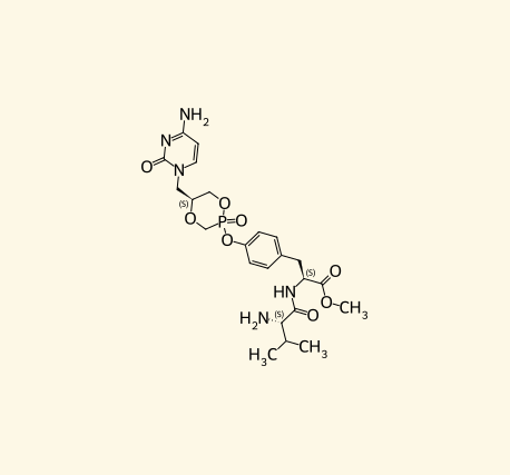 COC(=O)[C@H](Cc1ccc(OP2(=O)CO[C@@H](Cn3ccc(N)nc3=O)CO2)cc1)NC(=O)[C@@H](N)C(C)C